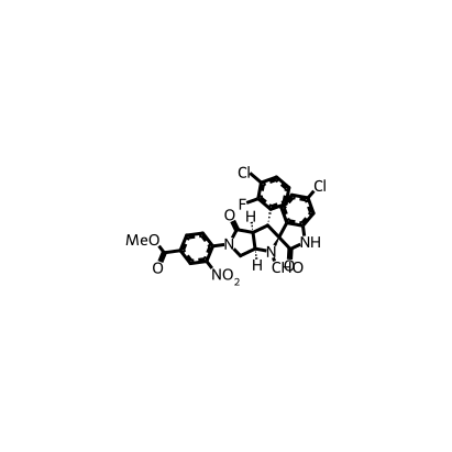 COC(=O)c1ccc(N2C[C@H]3[C@@H](C2=O)[C@H](c2cccc(Cl)c2F)[C@]2(C(=O)Nc4cc(Cl)ccc42)N3C=O)c([N+](=O)[O-])c1